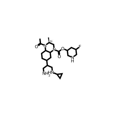 CC(=O)N1C2CCC(C(CN)CNC3CC3)CC2N(C(=O)OC2CNCC(F)C2)C[C@@H]1C